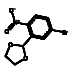 O=[N+]([O-])c1ccc(Br)cc1C1OCCO1